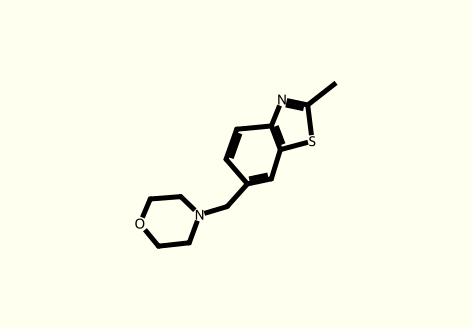 Cc1nc2ccc(CN3CCOCC3)cc2s1